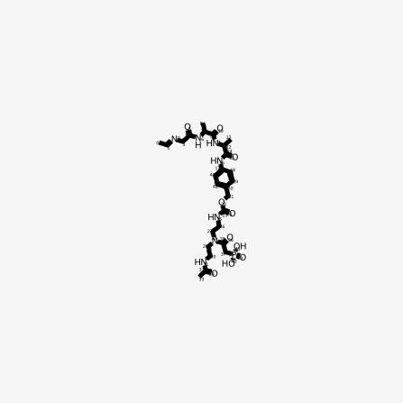 C/C=N/CC(=O)NC(C)C(=O)NC(C)C(=O)Nc1ccc(COC(=O)NCCN(CCNC(C)=O)C(=O)CP(=O)(O)O)cc1